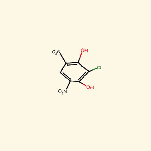 O=[N+]([O-])c1cc([N+](=O)[O-])c(O)c(Cl)c1O